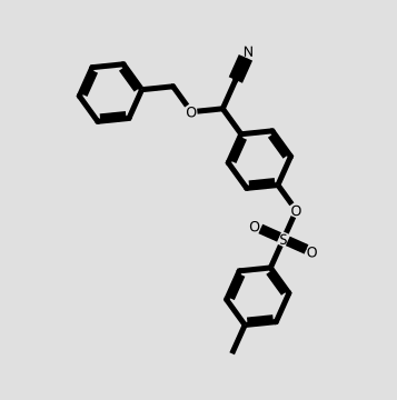 Cc1ccc(S(=O)(=O)Oc2ccc(C(C#N)OCc3ccccc3)cc2)cc1